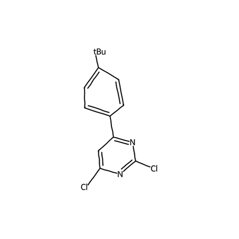 CC(C)(C)c1ccc(-c2cc(Cl)nc(Cl)n2)cc1